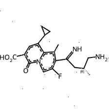 Cc1c(C(=N)C[C@@H](C)CN)c(F)cn2c(=O)c(C(=O)O)cc(C3CC3)c12